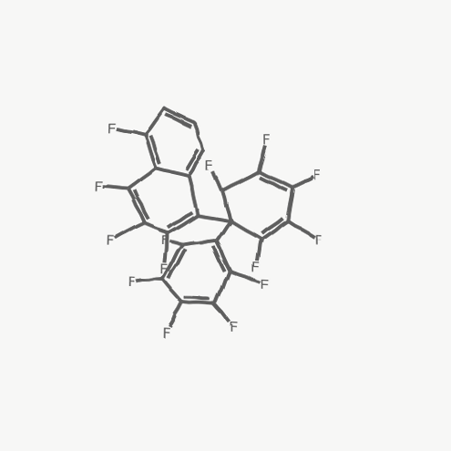 FC1=C(F)C(F)C(c2c(F)c(F)c(F)c(F)c2F)(c2c(F)c(F)c(F)c3c(F)cccc23)C(F)=C1F